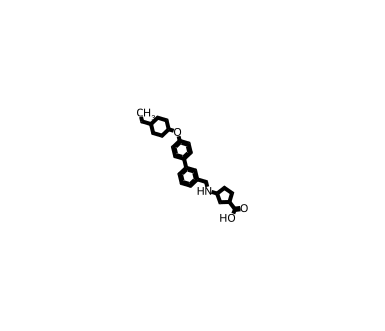 CCC1CCC(Oc2ccc(-c3cccc(CNC4CCC(C(=O)O)C4)c3)cc2)CC1